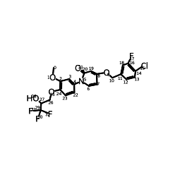 COc1cc(-n2ccc(OCc3ccc(Cl)c(F)c3)cc2=O)ccc1OCC(O)C(F)(F)F